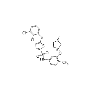 CN1CC[C@@H](Oc2cc(NS(=O)(=O)c3ccc(Sc4cccc(Cl)c4Cl)s3)ccc2C(F)(F)F)C1